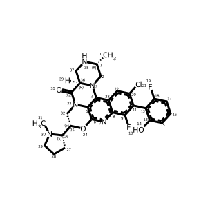 C[C@@H]1CN2c3c4c(nc5c(F)c(-c6c(O)cccc6F)c(Cl)cc35)O[C@H]([C@@H]3CCCN3C)CN4C(=O)[C@H]2CN1